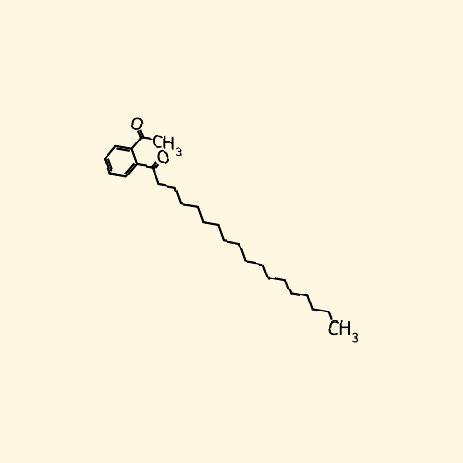 CCCCCCCCCCCCCCCCCC(=O)c1ccccc1C(C)=O